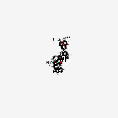 COc1ccc(CN(Cc2ccc(OC)cc2)c2cc(C)c(C(F)(F)F)c(-c3c(Cl)c4c5c(nc(OC[C@@]67CCCN6C[C@H](F)C7)nc5c3F)N([C@H](C)c3cccnc3NC(=O)O)CCO4)c2F)cc1